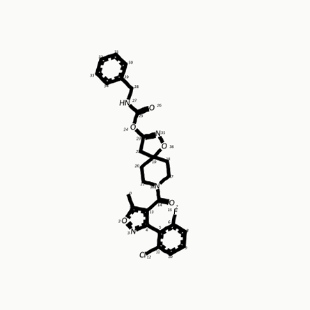 Cc1onc(-c2c(F)cccc2Cl)c1C(=O)N1CCC2(CC1)CC(OC(=O)NCc1ccccc1)=NO2